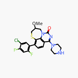 COC1CSc2c(-c3cc(Cl)c(F)cc3F)ccc3c(N4CCNCC4)nc(=O)n(c23)C1